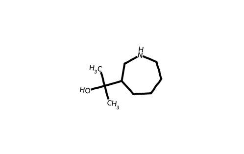 CC(C)(O)C1CCCCNC1